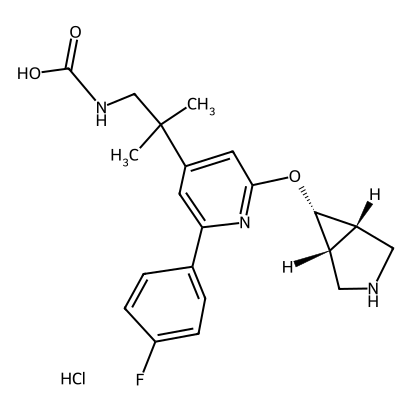 CC(C)(CNC(=O)O)c1cc(O[C@@H]2[C@@H]3CNC[C@@H]32)nc(-c2ccc(F)cc2)c1.Cl